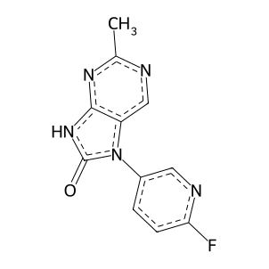 Cc1ncc2c(n1)[nH]c(=O)n2-c1ccc(F)nc1